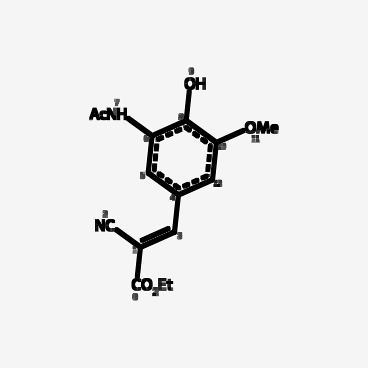 CCOC(=O)/C(C#N)=C/c1cc(NC(C)=O)c(O)c(OC)c1